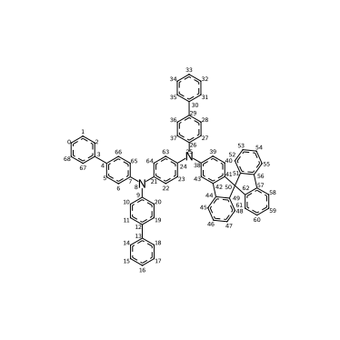 c1ccc(-c2ccc(N(c3ccc(-c4ccccc4)cc3)c3ccc(N(c4ccc(-c5ccccc5)cc4)c4ccc5c(c4)-c4ccccc4C54c5ccccc5-c5ccccc54)cc3)cc2)cc1